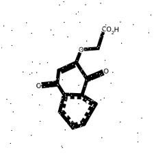 O=C(O)COC1=CC(=O)c2ccccc2C1=O